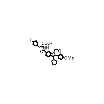 COc1ccc2c(c1)OCCn1c-2c(C2CCCCC2)c2ccc(C(=O)N[C@@H](Cc3ccc(F)cc3)C(=O)O)cc21